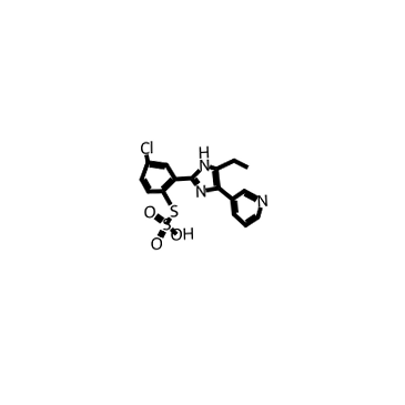 CCc1[nH]c(-c2cc(Cl)ccc2SS(=O)(=O)O)nc1-c1cccnc1